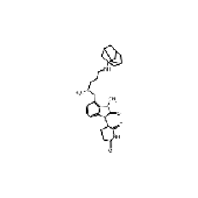 CN(CCCNC12CC3CC(CC(C3)C1)C2)Cc1cccc2c1n(C)c(=O)n2C1CCC(=O)NC1=O